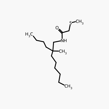 CCCCCCC(C)(CCCC)CNC(=O)CSC